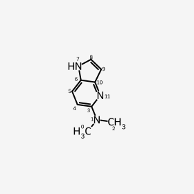 CN(C)c1ccc2[nH]ccc2n1